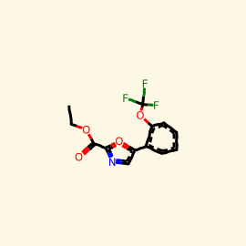 CCOC(=O)c1ncc(-c2ccccc2OC(F)(F)F)o1